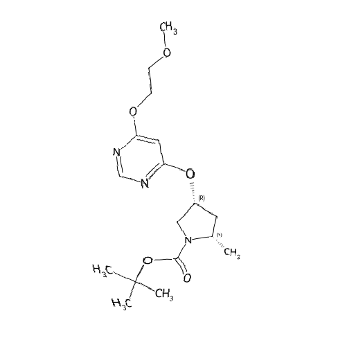 COCCOc1cc(O[C@@H]2C[C@H](C)N(C(=O)OC(C)(C)C)C2)ncn1